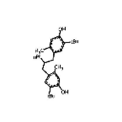 CCCC(Cc1cc(C(C)(C)C)c(O)cc1C)Cc1cc(C(C)(C)C)c(O)cc1C